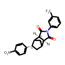 O=C1[C@@H]2C3CC(C[C@@H]3c3ccc([N+](=O)[O-])cc3)[C@@H]2C(=O)N1c1cccc(C(F)(F)F)c1